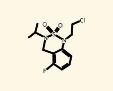 CC(C)N1Cc2c(F)cccc2N(CCCl)S1(=O)=O